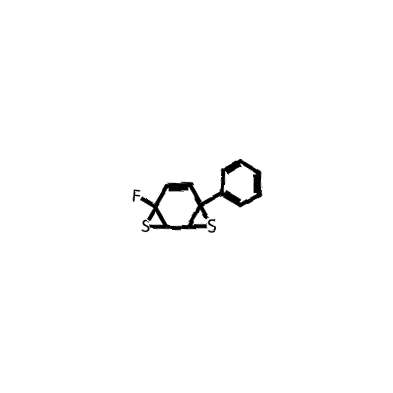 FC12C=CC3(c4ccccc4)SC3C1S2